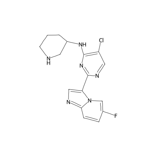 Fc1ccc2ncc(-c3ncc(Cl)c(NC4CCCNC4)n3)n2c1